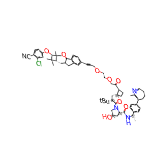 CC1=C(c2ccc([C@H](C)NC(=O)[C@@H]3C[C@@H](O)CN3C(=O)[C@@H](C[C@H]3CCC3C(=O)COCCOCC#Cc3ccc4c(c3)CC(C[C@H]3C(C)(C)[C@H](Oc5ccc(C#N)c(Cl)c5)C3(C)C)C4=O)C(C)(C)C)cc2)CCCC=N1